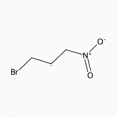 O=[N+]([O-])C[CH]CBr